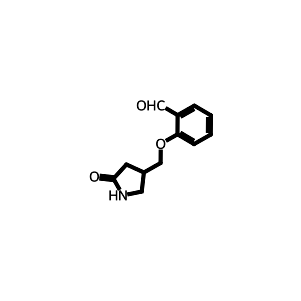 O=Cc1ccccc1OCC1CNC(=O)C1